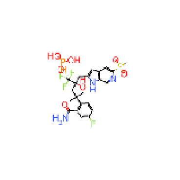 CC(C)(C[C@@](O)(Cc1cc2cc(S(C)(=O)=O)ncc2[nH]1)C(F)(F)F)c1ccc(F)cc1C(N)=O.O=[PH](O)O